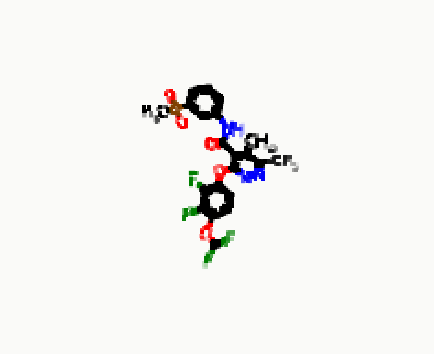 Cc1c(C(F)(F)F)nnc(Oc2ccc(OC(F)F)c(F)c2F)c1C(=O)Nc1cccc(S(C)(=O)=O)c1